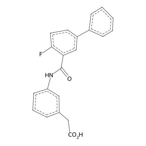 O=C(O)Cc1cccc(NC(=O)c2cc(-c3ccccc3)ccc2F)c1